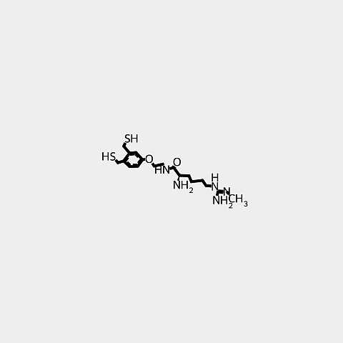 C/N=C(\N)NCCCC[C@@H](N)C(=O)NCCOc1ccc(CS)c(CS)c1